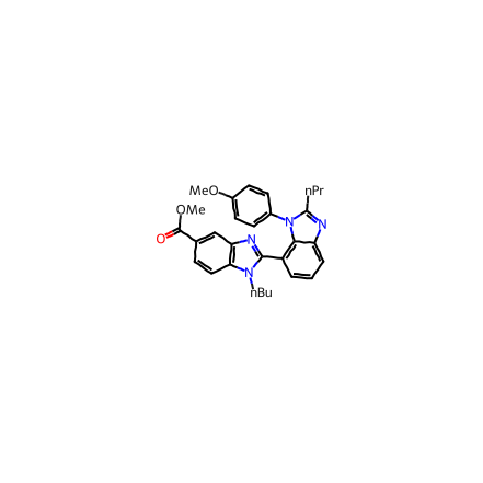 CCCCn1c(-c2cccc3nc(CCC)n(-c4ccc(OC)cc4)c23)nc2cc(C(=O)OC)ccc21